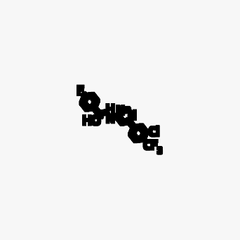 O[C@@H](CNc1cc(-c2ccc(C(F)(F)F)c(Cl)c2)ncn1)c1ccc(F)cc1